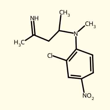 CC(=N)CC(C)N(C)c1ccc([N+](=O)[O-])cc1Cl